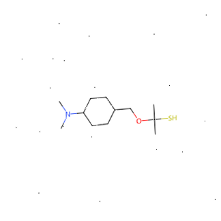 CN(C)C1CCC(COC(C)(C)S)CC1